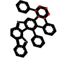 c1ccc(-c2ccccc2-c2cc3c(c(-c4ccccc4)c2-c2ccccc2-c2ccccc2)-c2c4c(ccc2=N3)=c2ccccc2=N4)cc1